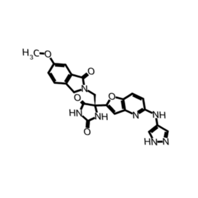 COc1ccc2c(c1)C(=O)N(C[C@@]1(c3cc4nc(Nc5cn[nH]c5)ccc4o3)NC(=O)NC1=O)C2